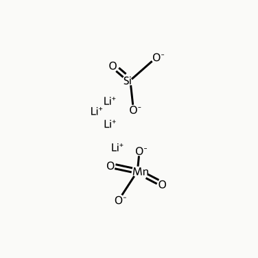 O=[Si]([O-])[O-].[Li+].[Li+].[Li+].[Li+].[O]=[Mn](=[O])([O-])[O-]